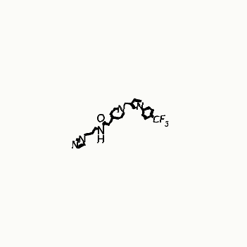 O=C(CC1CCN(Cc2ccn(-c3ccc(C(F)(F)F)cc3)c2)CC1)NCCCn1ccnc1